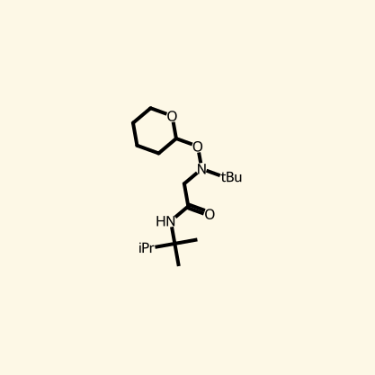 CC(C)C(C)(C)NC(=O)CN(OC1CCCCO1)C(C)(C)C